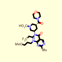 COCCCNc1nc(C(C)(C)C)ncc1C(=O)N(CCC(F)(F)F)[C@H]1C[C@@H](C(=O)N2CCOCC2)CN(C(=O)O)C1